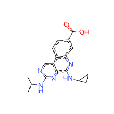 CC(C)Nc1ncc2c(n1)c(NC1CC1)nc1cc(C(=O)O)ccc12